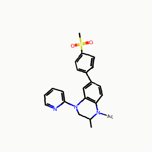 CC(=O)N1c2ccc(-c3ccc(S(C)(=O)=O)cc3)cc2N(c2ccccn2)CC1C